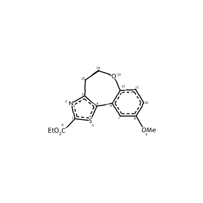 CCOC(=O)c1nc2c(s1)-c1cc(OC)ccc1OCC2